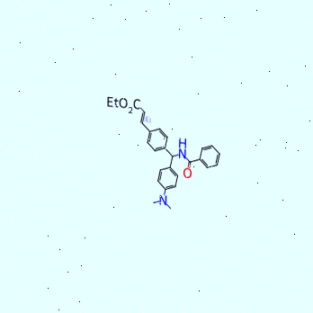 CCOC(=O)/C=C/c1ccc(C(NC(=O)c2ccccc2)c2ccc(N(C)C)cc2)cc1